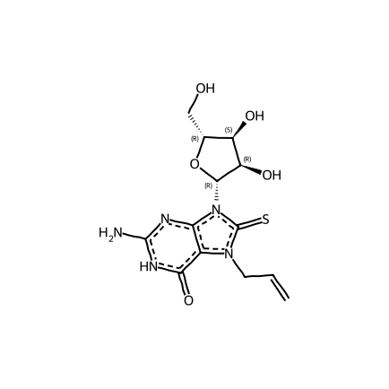 C=CCn1c(=S)n([C@@H]2O[C@H](CO)[C@@H](O)[C@H]2O)c2nc(N)[nH]c(=O)c21